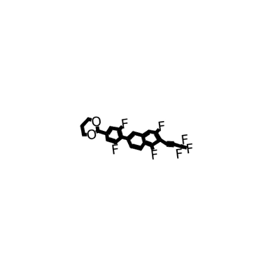 Fc1cc2cc(-c3c(F)cc(C4OCCCO4)cc3F)ccc2c(F)c1C#CC(F)(F)F